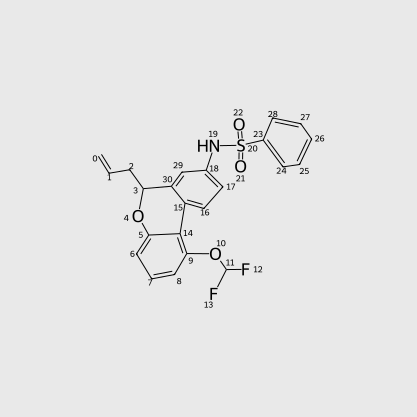 C=CCC1Oc2cccc(OC(F)F)c2-c2ccc(NS(=O)(=O)c3ccccc3)cc21